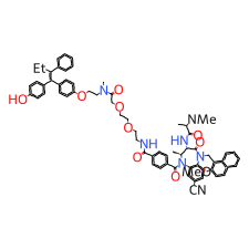 CCC(=C(c1ccc(O)cc1)c1ccc(OCCN(C)C(=O)COCCOCCNC(=O)c2ccc(C(=O)N3c4cc(C#N)ccc4N(Cc4c(OC)ccc5ccccc45)C(=O)[C@@H](NC(=O)C(C)NC)[C@@H]3C)cc2)cc1)c1ccccc1